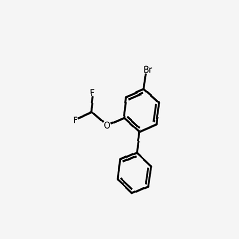 FC(F)Oc1cc(Br)ccc1-c1ccccc1